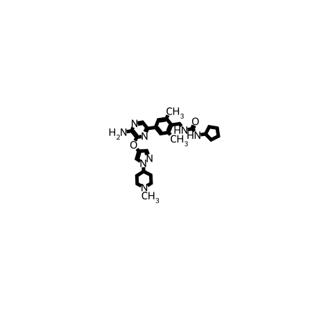 Cc1cc(-c2cnc(N)c(Oc3cnn(C4CCN(C)CC4)c3)n2)cc(C)c1CNC(=O)NC1CCCC1